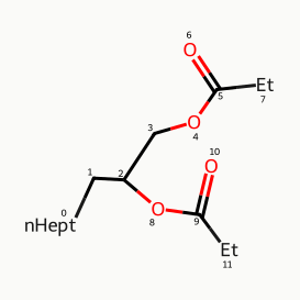 [CH2]CCCCCCCC(COC(=O)CC)OC(=O)CC